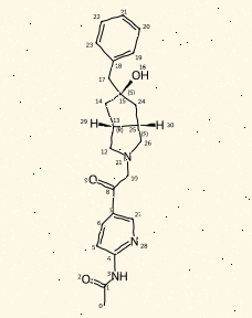 CC(=O)Nc1ccc(C(=O)CN2C[C@@H]3C[C@](O)(Cc4ccccc4)C[C@@H]3C2)cn1